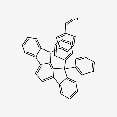 N=Cc1cccc(-n2c3ccccc3c3ccc4c(c32)C(c2ccccc2)(c2ccccc2)c2ccccc2-4)c1